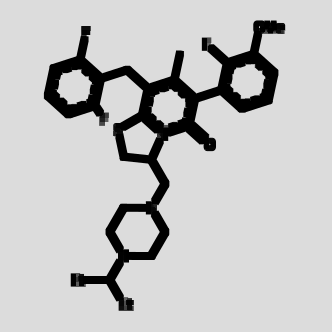 CCC(CC)N1CCN(CC2CSc3c(Cc4c(F)cccc4F)c(C)c(-c4cccc(OC)c4F)c(=O)n32)CC1